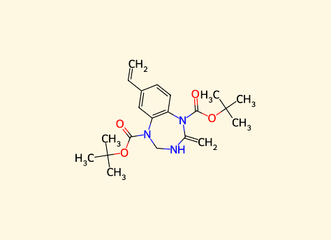 C=Cc1ccc2c(c1)N(C(=O)OC(C)(C)C)CNC(=C)N2C(=O)OC(C)(C)C